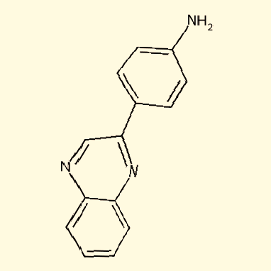 Nc1ccc(-c2cnc3ccccc3n2)cc1